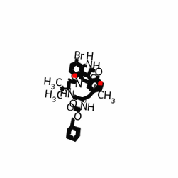 Cc1coc(-c2nc3oc2C24c5cc(ccc5O[C@@H]2Nc2c(Br)cccc24)C[C@H](NC(=O)OCc2ccccc2)C(=O)N[C@H]3C(C)C)n1